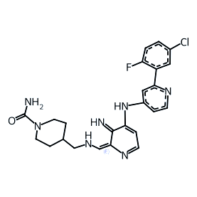 N=C1C(Nc2ccnc(-c3cc(Cl)ccc3F)c2)=CC=N/C1=C/NCC1CCN(C(N)=O)CC1